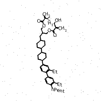 C=C(C)C(=O)OCC(COC(=O)C(=C)CO)CC1CCC(C2CCC(c3ccc(-c4ccc(CCCCC)c(CC)c4)c(CC)c3)CC2)CC1